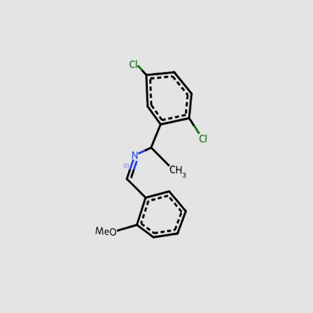 COc1ccccc1/C=N\C(C)c1cc(Cl)ccc1Cl